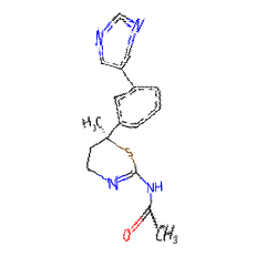 CC(=O)NC1=NCC[C@@](C)(c2cccc(-c3cncnc3)c2)S1